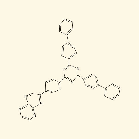 c1ccc(-c2ccc(-c3cc(-c4ccc(-c5cnc6nccnc6n5)cc4)nc(-c4ccc(-c5ccccc5)cc4)n3)cc2)cc1